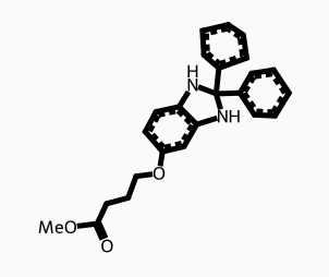 COC(=O)CCCOc1ccc2c(c1)NC(c1ccccc1)(c1ccccc1)N2